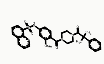 COc1cc(NS(=O)(=O)c2cccc3cccnc23)ccc1C(=O)N1CCN(C(=O)C(C)(C)c2ccccc2)CC1